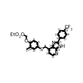 CCOC(=O)COc1ccc(SCc2ccnc3[nH]c(-c4ccc(C(F)(F)F)cc4)nc23)cc1C